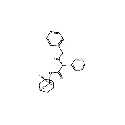 O=C(O[C@H]1CN2CCC1CC2)C(NCc1ccccc1)c1ccccc1